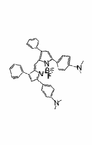 CN(C)c1ccc(C2=[N+]3C(=Cc4c(-c5ccccc5)cc(-c5ccc(N(C)C)cc5)n4[B-]3(F)F)C(c3ccccc3)=C2)cc1